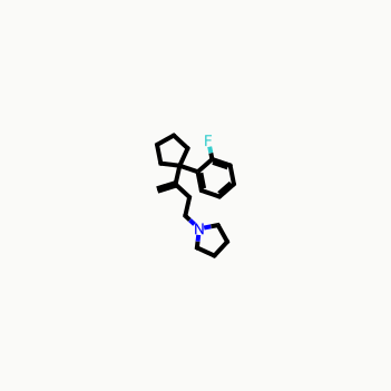 C=C(CCN1CCCC1)C1(c2ccccc2F)CCCC1